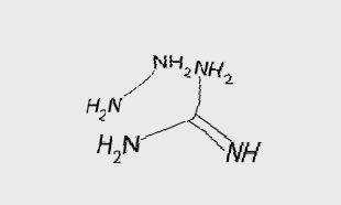 N=C(N)N.NN